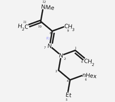 C=CN(CC(CC)CCCCCC)/N=C(\C)C(=C)NC